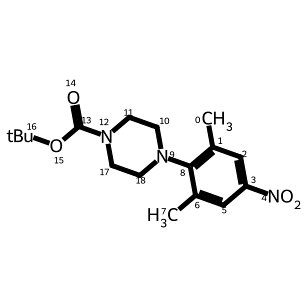 Cc1cc([N+](=O)[O-])cc(C)c1N1CCN(C(=O)OC(C)(C)C)CC1